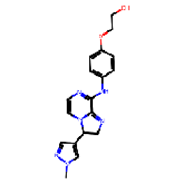 Cn1cc(C2CN=C3C(Nc4ccc(OCCO)cc4)=NC=CN32)cn1